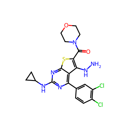 NNc1c(C(=O)N2CCOCC2)sc2nc(NC3CC3)nc(-c3ccc(Cl)c(Cl)c3)c12